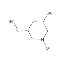 CC(C)OC1CC(C(C)C)CN(O)C1